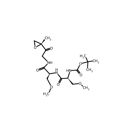 COC[C@H](NC(=O)OC(C)(C)C)C(=O)N[C@@H](COC)C(=O)NCC(=O)[C@@]1(C)CO1